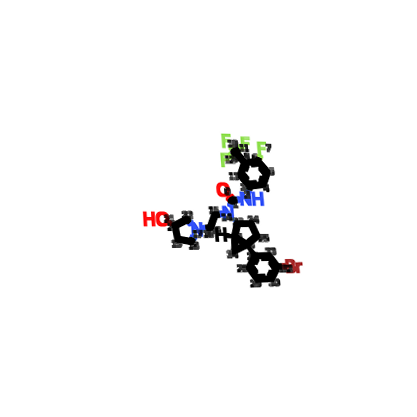 O=C(Nc1ccc(F)c(C(F)(F)F)c1)N(CCN1CC[C@@H](O)C1)[C@@H]1CC[C@]2(c3cccc(Br)c3)C[C@H]12